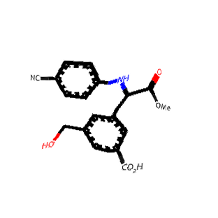 COC(=O)C(Nc1ccc(C#N)cc1)c1cc(CO)cc(C(=O)O)c1